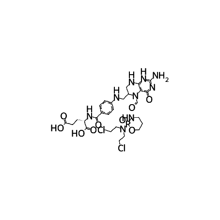 Nc1nc(=O)c2c([nH]1)NCC(CNc1ccc(C(=O)N[C@@H](CCC(=O)O)C(=O)O)cc1)N2C=O.O=P1(N(CCCl)CCCl)NCCCO1